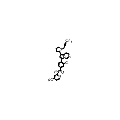 CC#CCN1CCCC1c1cc(-c2ccc(C(=O)Nc3cc(C#N)ccn3)cc2Cl)n2cnccc12